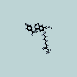 COc1cc2ncnc(NC(C)c3ccc(F)cc3)c2cc1OCCCCCCC(=O)NO